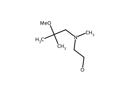 COC(C)(C)CN(C)CC[O]